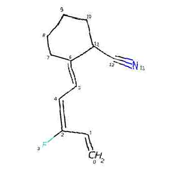 C=C/C(F)=C\C=C1/CCCCC1C#N